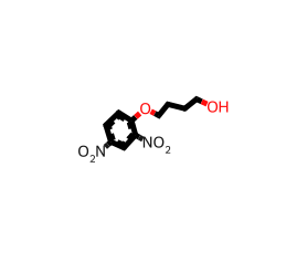 O=[N+]([O-])c1ccc(OCCCCO)c([N+](=O)[O-])c1